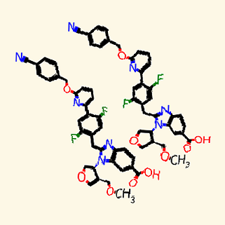 COC[C@H]1COC[C@H]1n1c(Cc2cc(F)c(-c3cccc(OCc4ccc(C#N)cc4)n3)cc2F)nc2ccc(C(=O)O)cc21.COC[C@H]1COC[C@H]1n1c(Cc2cc(F)c(-c3cccc(OCc4ccc(C#N)cc4)n3)cc2F)nc2ccc(C(=O)O)cc21